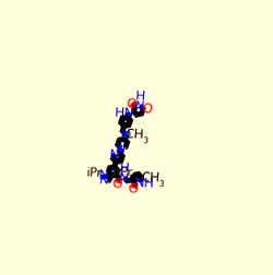 CCCc1cc(C)[nH]c(=O)c1CNC(=O)c1cc(-c2ccc(N3CCC(N(C)Cc4ccc(NC5CCC(=O)NC5=O)cc4)CC3)nc2)cc2c1cnn2C(C)C